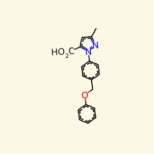 Cc1cc(C(=O)O)n(-c2ccc(COc3ccccc3)cc2)n1